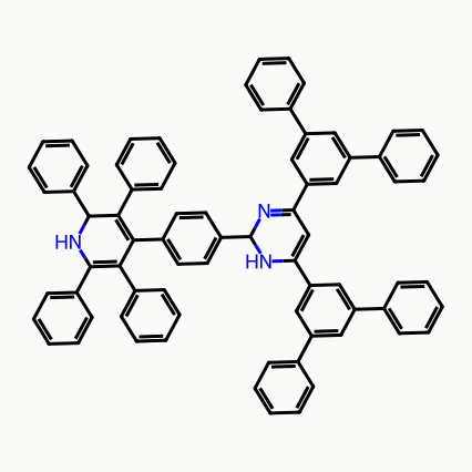 C1=C(c2cc(-c3ccccc3)cc(-c3ccccc3)c2)NC(c2ccc(C3=C(c4ccccc4)C(c4ccccc4)NC(c4ccccc4)=C3c3ccccc3)cc2)N=C1c1cc(-c2ccccc2)cc(-c2ccccc2)c1